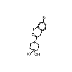 O=C(Cc1ccc(Br)cc1F)N1CCS(O)(O)CC1